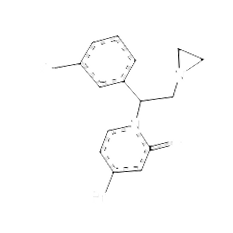 O=c1cc(Br)ccn1C(CN1CC1)c1cccc(Cl)c1